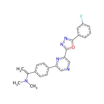 C=C(c1ccc(-c2cncc(-c3nnc(-c4cccc(F)c4)o3)n2)cc1)N(C)C